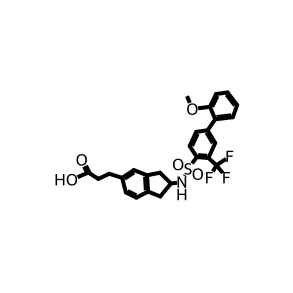 COc1ccccc1-c1ccc(S(=O)(=O)NC2Cc3ccc(CCC(=O)O)cc3C2)c(C(F)(F)F)c1